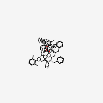 Cc1cccc(C)c1OCC(=O)N[C@@H](Cc1ccccc1)[C@H](C[C@H](Cc1ccccc1)NC(=O)[C@H](C(C)C)N1CCCNC1=O)OCOP(=O)([O-])[O-].[Na+].[Na+]